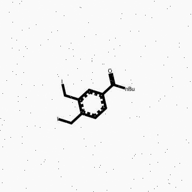 CCCCC(=O)c1ccc(CI)c(CI)c1